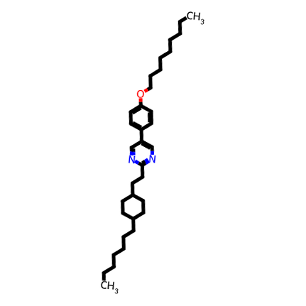 CCCCCCCCCOc1ccc(-c2cnc(CCC3CCC(CCCCCCC)CC3)nc2)cc1